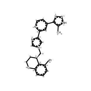 Cc1[nH]nnc1-c1ccnc(-c2cn(C[C@@H]3CCOc4cccc(C(C)C)c43)cn2)c1